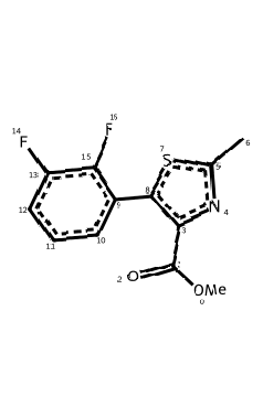 COC(=O)c1nc(C)sc1-c1cccc(F)c1F